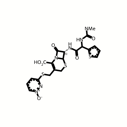 CNC(=O)NC(C(=O)N[C@H]1C(=O)N2C(C(=O)O)=C(CSc3ccc[n+]([O-])n3)CSC12)c1cccs1